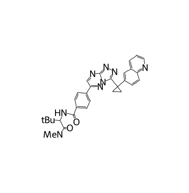 CNC(=O)C(NC(=O)c1ccc(-c2cnc3nnc(C4(c5ccc6ncccc6c5)CC4)n3n2)cc1)C(C)(C)C